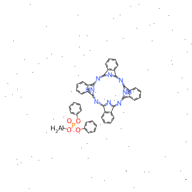 O=P([O][AlH2])(Oc1ccccc1)Oc1ccccc1.c1ccc2c(c1)-c1nc-2nc2[nH]c(nc3nc(nc4[nH]c(n1)c1ccccc41)-c1ccccc1-3)c1ccccc21